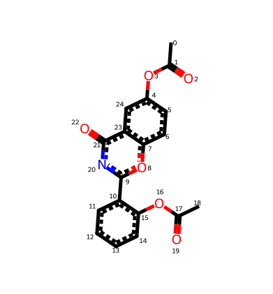 CC(=O)Oc1ccc2oc(-c3ccccc3OC(C)=O)nc(=O)c2c1